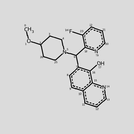 COC1CCN(C(c2ccc3cccnc3c2O)c2ncccc2F)CC1